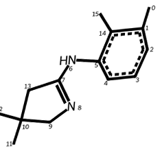 Cc1cccc(NC2=NCC(C)(C)C2)c1C